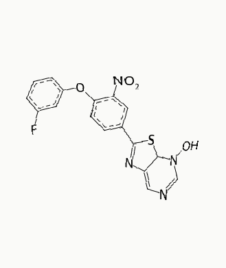 O=[N+]([O-])c1cc(C2=NC3=CN=CN(O)C3S2)ccc1Oc1cccc(F)c1